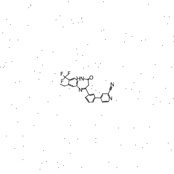 CCc1cc2c(cc1C(F)(F)F)NC(=O)CC(c1cccc(-c3ccnc(C#N)c3)c1)=N2